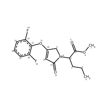 CCCC(C(=O)OC)N1CC(Oc2c(F)cccc2F)=CC1=O